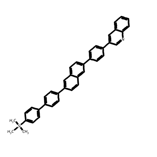 C[Si](C)(C)c1ccc(-c2ccc(-c3ccc4cc(-c5ccc(-c6cnc7ccccc7c6)cc5)ccc4c3)cc2)cc1